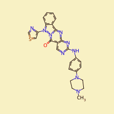 CN1CCN(c2ccc(Nc3ncc4c(=O)n5c(nc4n3)c3ccccc3n5-c3cscn3)cc2)CC1